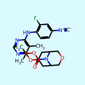 [C-]#[N+]c1ccc(Nc2ncnc(OC3CC4COCC(C3)N4C(=O)OC(C)C)c2C)c(F)c1